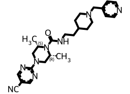 C[C@@H]1CN(c2ncc(C#N)cn2)C[C@H](C)N1C(=O)NCCC1CCN(Cc2ccncc2)CC1